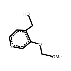 COCOc1cnccc1CO